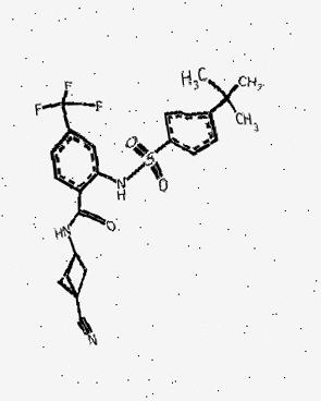 CC(C)(C)c1ccc(S(=O)(=O)Nc2cc(C(F)(F)F)ccc2C(=O)NC23CC(C#N)(C2)C3)cc1